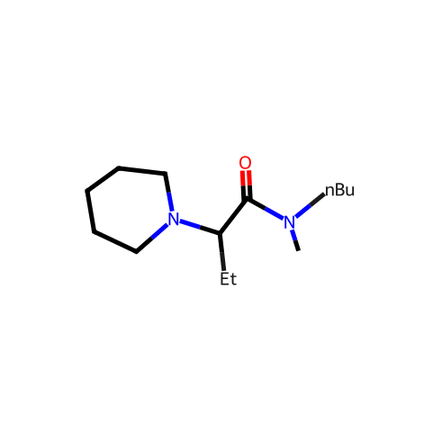 CCCCN(C)C(=O)C(CC)N1CCCCC1